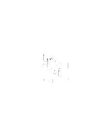 [Ca+2].[Na+].[OH-].[OH-].[O]=[Al-]=[O]